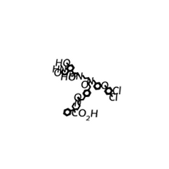 O=C(Cc1ccc(CC(=O)N(CCCNC[C@H](O)c2ccc(O)c3[nH]c(=O)ccc23)Cc2cccc(Oc3ccc(Cl)c(Cl)c3)c2)cc1)N1CCC(C(=O)O)(c2ccccc2)CC1